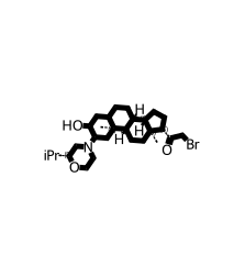 CC(C)[C@@H]1CN(C2C[C@@]3(C)C(CC[C@H]4[C@@H]5CC[C@H](C(=O)CBr)[C@@]5(C)CC[C@@H]43)CC2O)CCO1